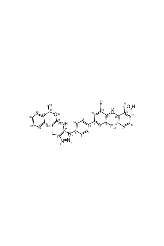 Cc1nnn(-c2ccc(-c3cc(F)c(Oc4cccnc4C(=O)O)c(F)c3)cc2)c1NC(=O)O[C@H](C)c1ccccc1